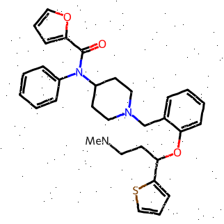 CNCCC(Oc1ccccc1CN1CCC(N(C(=O)c2ccco2)c2ccccc2)CC1)c1cccs1